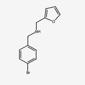 Brc1ccc(CNCc2ccco2)cc1